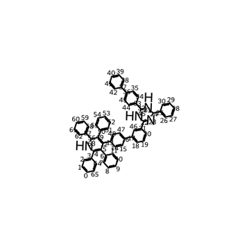 c1ccc(C2=C(c3ccccc3)C(c3ccc(-c4cccc(C5=NC(c6ccccc6)NC(c6ccc(-c7ccccc7)cc6)N5)c4)cc3)=C(c3ccccc3)C(c3ccccc3)N2)cc1